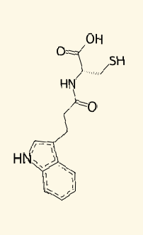 O=C(CCc1c[nH]c2ccccc12)N[C@@H](CS)C(=O)O